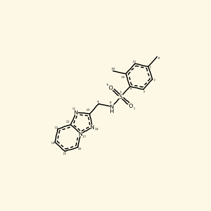 Cc1ccc(S(=O)(=O)NCc2nc3ccccn3n2)c(C)c1